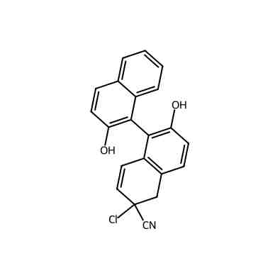 N#CC1(Cl)C=Cc2c(ccc(O)c2-c2c(O)ccc3ccccc23)C1